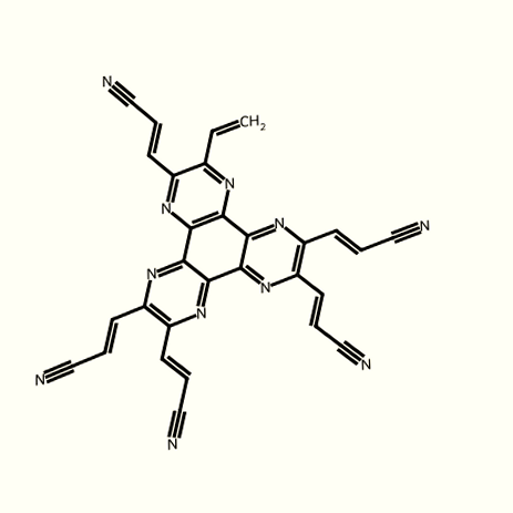 C=Cc1nc2c(nc1/C=C/C#N)c1nc(/C=C/C#N)c(/C=C/C#N)nc1c1nc(/C=C/C#N)c(/C=C/C#N)nc21